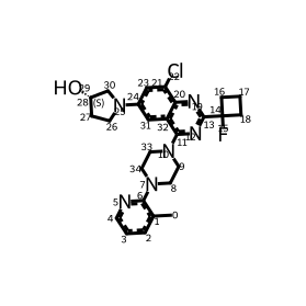 Cc1cccnc1N1CCN(c2nc(C3(F)CCC3)nc3c(Cl)cc(N4CC[C@H](O)C4)cc23)CC1